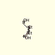 CCN(CCSSCCN(CC)c1ccc(/C=C/c2cccc[n+]2CCO)cc1)c1ccc(/C=C/C=C/C=C\C=N\CCO)cc1